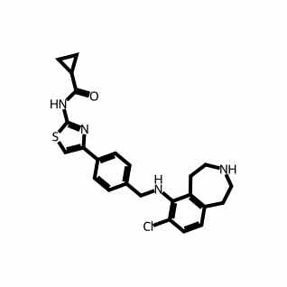 O=C(Nc1nc(-c2ccc(CNc3c(Cl)ccc4c3CCNCC4)cc2)cs1)C1CC1